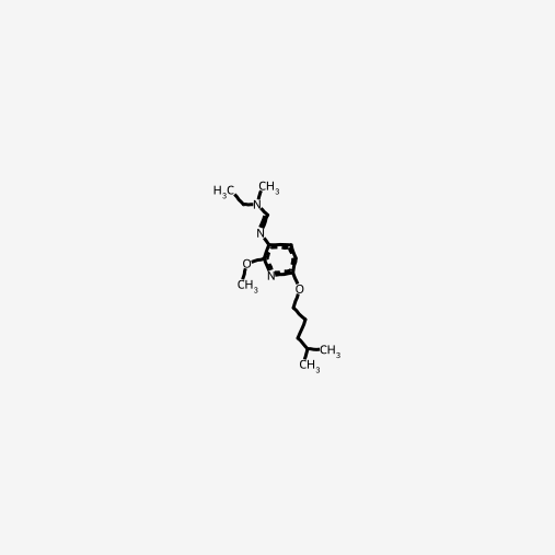 CCN(C)/C=N/c1ccc(OCCCC(C)C)nc1OC